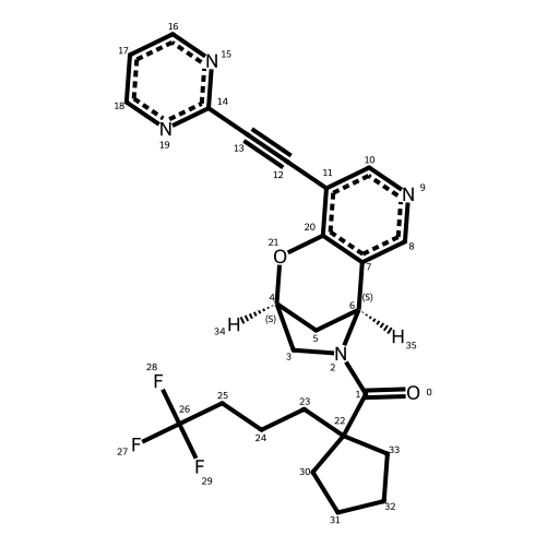 O=C(N1C[C@@H]2C[C@H]1c1cncc(C#Cc3ncccn3)c1O2)C1(CCCC(F)(F)F)CCCC1